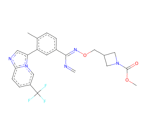 C=N/C(=N\OCC1CN(C(=O)OC)C1)c1ccc(C)c(-c2cnc3ccc(C(F)(F)F)cn23)c1